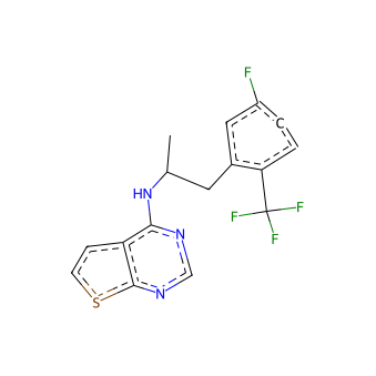 CC(Cc1cc(F)ccc1C(F)(F)F)Nc1ncnc2sccc12